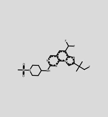 CC(C)(CF)c1cn2c(n1)c(C(F)F)cc1cnc(NC3CCN(S(C)(=O)=O)CC3)nc12